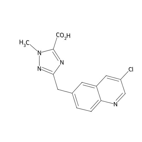 Cn1nc(Cc2ccc3ncc(Cl)cc3c2)nc1C(=O)O